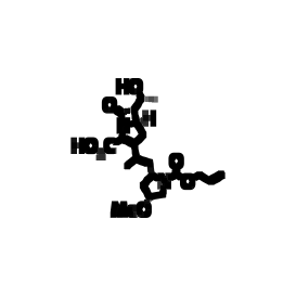 C=CCOC(=O)N1C[C@H](OC)C[C@H]1C=C(C)C1=C(C(=O)O)N2C(=O)[C@H]([C@@H](C)O)[C@H]2C1